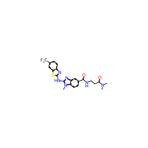 CN(C)C(=O)CCNC(=O)c1ccc2c(c1)nc(Nc1nc3ccc(C(F)(F)F)cc3s1)n2C